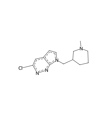 CN1CCCC(Cn2ccc3cc(Cl)nnc32)C1